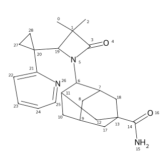 CC1(C)C(=O)N(C2C3CC4CC2CC(C(N)=O)(C4)C3)C1C1(c2ccccn2)CC1